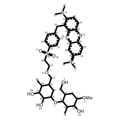 COC1CC(CO)C(OC2CC(COCCS(=O)(=O)c3ccc(Cc4c(N(C)C)ccc5nc6ccc(=[N+](C)C)cc-6sc45)cc3)C(C)C(O)C2O)C(C)C1O